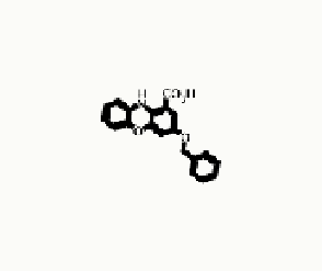 O=C(O)c1cc(OCc2ccccc2)cc2c1Nc1ccccc1O2